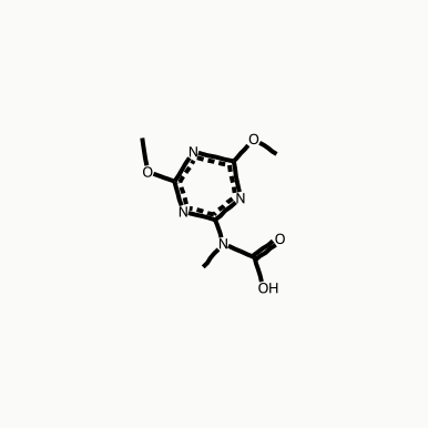 COc1nc(OC)nc(N(C)C(=O)O)n1